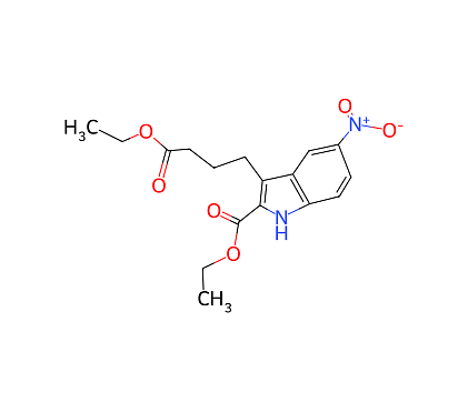 CCOC(=O)CCCc1c(C(=O)OCC)[nH]c2ccc([N+](=O)[O-])cc12